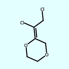 ClCC(Cl)=C1COCCO1